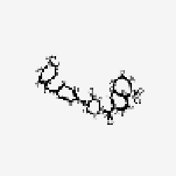 CC(C)N1CCC(Oc2ccc(N3CCN(C(=O)c4ccc5c(c4)CCCS5(=O)=O)CC3=O)cc2)CC1